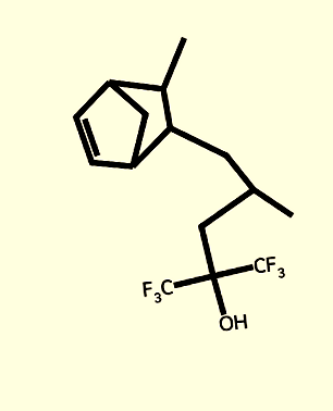 CC(CC1C2C=CC(C2)C1C)CC(O)(C(F)(F)F)C(F)(F)F